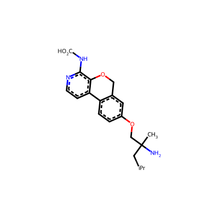 CC(C)CC(C)(N)COc1ccc2c(c1)COc1c-2ccnc1NC(=O)O